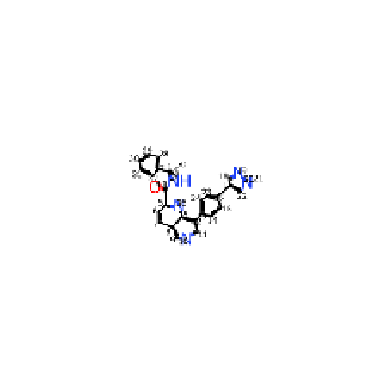 C[C@H](NC(=O)c1ccc2cncc(-c3ccc(-c4cnn(C)c4)cc3)c2n1)c1ccccc1